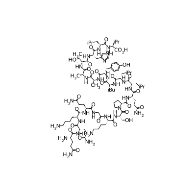 CC[C@H](C)[C@H](NC(=O)[C@H](CC(C)C)NC(=O)[C@H](CC(C)C)NC(=O)[C@H](CCC(N)=O)NC(=O)[C@@H]1CCCN1C(=O)[C@H](CO)NC(=O)[C@H](CCCCN)NC(=O)CNC(=O)[C@H](CCC(N)=O)NC(=O)[C@H](CCCCN)NC(=O)[C@H](CCC(N)=O)NC(=O)[C@@H](N)CCC(N)=O)C(=O)N[C@@H](Cc1ccc(O)cc1)C(=O)N[C@@H](C)C(=O)N[C@@H](C)C(=O)N[C@H](C(=O)N[C@@H](Cc1c[nH]cn1)C(=O)N[C@@H](CC(C)C)C(=O)N[C@H](C(=O)O)C(C)C)[C@@H](C)O